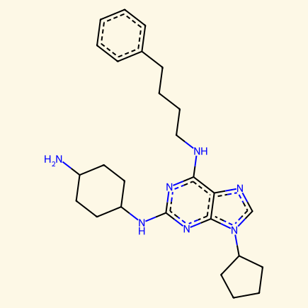 NC1CCC(Nc2nc(NCCCCc3ccccc3)c3ncn(C4CCCC4)c3n2)CC1